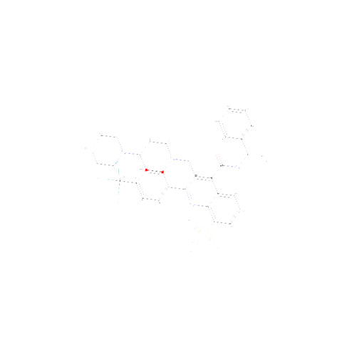 C[C@H](NC(=O)c1c(CN2CCC(N3CCOCC3)CC2)c(-c2ccc(C(F)(F)F)cc2)nc2c(S(C)(=O)=O)cccc12)c1ccccc1